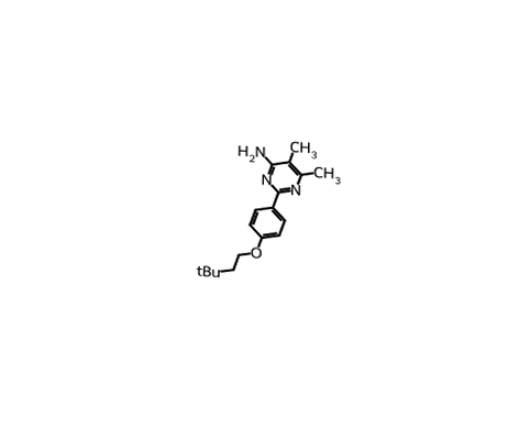 Cc1nc(-c2ccc(OCCC(C)(C)C)cc2)nc(N)c1C